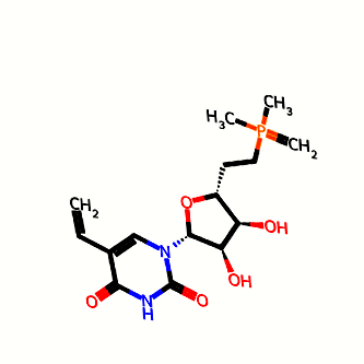 C=Cc1cn([C@@H]2O[C@H](CCP(=C)(C)C)[C@@H](O)[C@H]2O)c(=O)[nH]c1=O